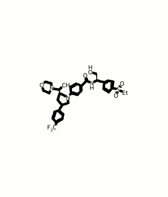 CCS(=O)(=O)c1ccc([C@H](CO)NC(=O)c2ccc(N3CC(c4ccc(C(F)(F)F)cc4)C[C@H]3C(C)N3CCOCC3)cc2)cc1